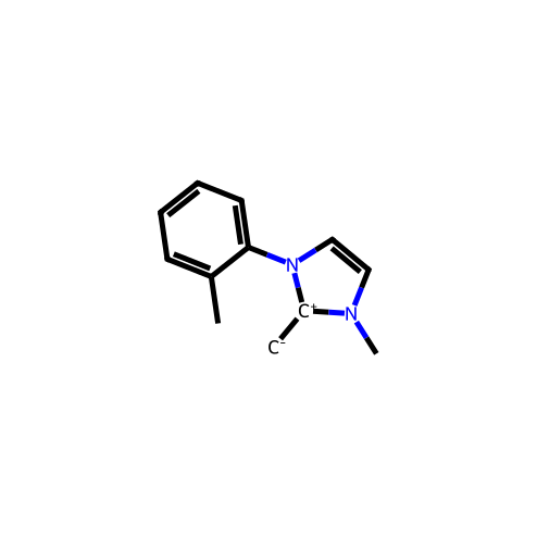 [CH2-][c+]1n(C)ccn1-c1ccccc1C